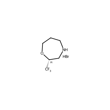 Br.FC(F)(F)[C@H]1CNCCCO1